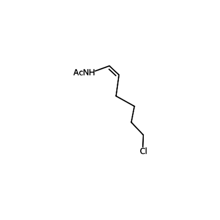 CC(=O)N/C=C\CCCCCl